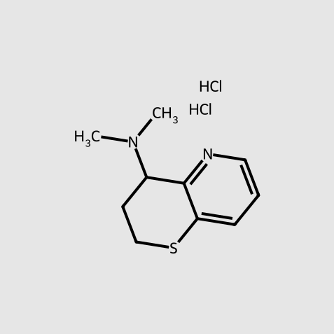 CN(C)C1CCSc2cccnc21.Cl.Cl